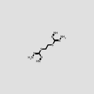 N=NC(=NN)SCCSC(N=N)=NN